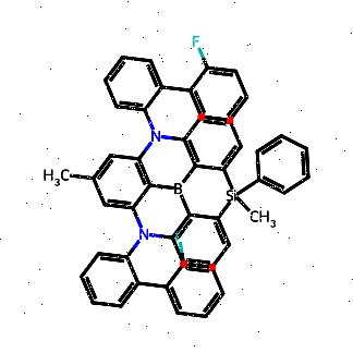 Cc1cc2c3c(c1)N(c1ccccc1-c1ccccc1F)c1cccc4c1B3c1c(cccc1[Si]4(C)c1ccccc1)N2c1ccccc1-c1ccccc1F